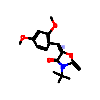 C=c1o/c(=C/c2ccc(OC)cc2OC)c(=O)n1C(C)(C)C